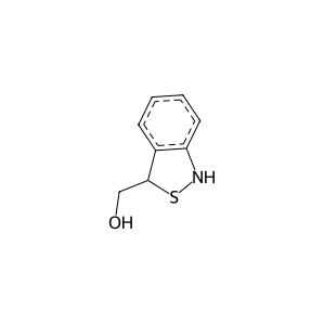 OCC1SNc2ccccc21